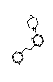 [c]1cccc(CCc2cccc(N3CCOCC3)n2)c1